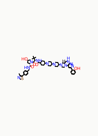 Cc1ncsc1-c1ccc(CNC(=O)[C@@H]2C[C@@H](O)CN2C(=O)[C@@H](NC(=O)C2CCC(N3CCC(N4CCC(N5CCN6c7cc(-c8ccccc8O)nnc7NC[C@H]6C5)CC4)CC3)CC2)C(C)(C)C)cc1